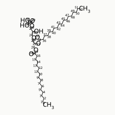 CCCCCCCCCCCCCCCCCC(=O)OC[C@H](COCC(O)COP(=O)(O)O)OC(=O)CCCCCCCCCCCCCCCCC